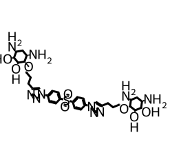 N[C@@H]1C[C@H](N)[C@@H](OCCCc2cn(-c3ccc(S(=O)(=O)c4ccc(-n5cc(CCCO[C@H]6[C@H](O)[C@@H](O)[C@H](N)C[C@@H]6N)nn5)cc4)cc3)nn2)[C@H](O)[C@H]1O